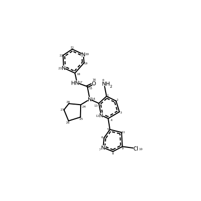 Nc1ccc(-c2cncc(Cl)c2)nc1N(C(=O)Nc1cnccn1)C1CCCC1